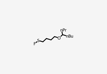 CCCCC(CCC)OCCCCSF